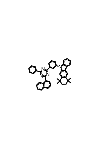 CC1(C)CCC(C)(C)c2cc3c(cc21)c1ccccc1n3-c1cccc(-c2nc(-c3ccccc3)nc(-c3cccc4ccccc34)n2)c1